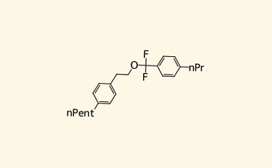 CCCCCc1ccc(CCOC(F)(F)c2ccc(CCC)cc2)cc1